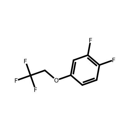 Fc1ccc(OCC(F)(F)F)cc1F